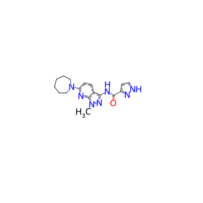 Cn1nc(NC(=O)c2cc[nH]n2)c2ccc(N3CCCCCC3)nc21